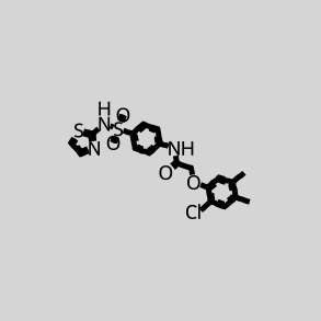 Cc1cc(Cl)c(OCC(=O)Nc2ccc(S(=O)(=O)Nc3nccs3)cc2)cc1C